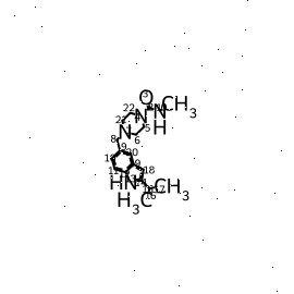 CNC(=O)N1CCN(Cc2ccc3[nH]c(C(C)C)cc3c2)CC1